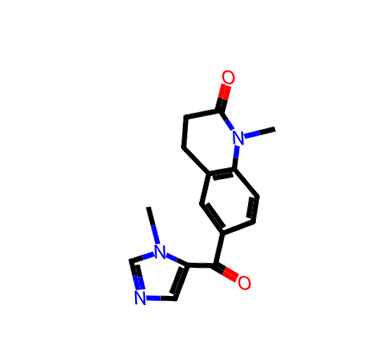 CN1C(=O)CCc2cc(C(=O)c3cncn3C)ccc21